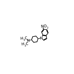 CN(C)[C@H]1CC[C@@H](n2ccc3ccc([N+](=O)[O-])cc32)CC1